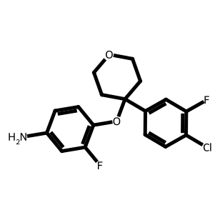 Nc1ccc(OC2(c3ccc(Cl)c(F)c3)CCOCC2)c(F)c1